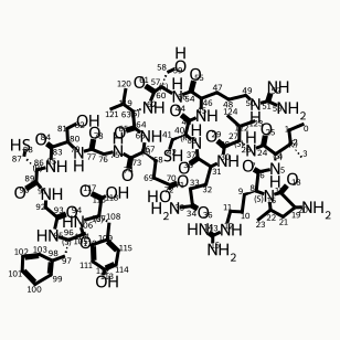 CC[C@H](C)[C@H](NC(=O)[C@H](CCCNC(=N)N)N1C(=O)C(N)CC1C)C(=O)N[C@H](C(=O)NC(CCC(N)=O)C(=O)N[C@@H](CS)C(=O)NC(CCCNC(=N)N)C(=O)N[C@@H](CO)C(=O)N[C@H](C(=O)N[C@@H](CCC(=O)O)C(=O)NCC(=O)NC(CO)C(=O)N[C@@H](CS)C(=O)NCC(=O)N[C@@H](Cc1ccccc1)C(=O)N[C@@H](Cc1ccc(O)cc1)C(=O)O)C(C)C)C(C)C